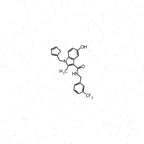 Cc1c(C(=O)NCc2cccc(C(F)(F)F)c2)c2cc(O)ccc2n1Cc1cccs1